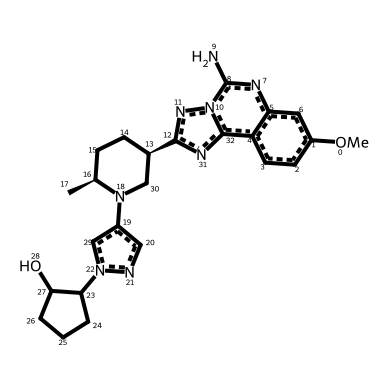 COc1ccc2c(c1)nc(N)n1nc([C@@H]3CC[C@H](C)N(c4cnn(C5CCCC5O)c4)C3)nc21